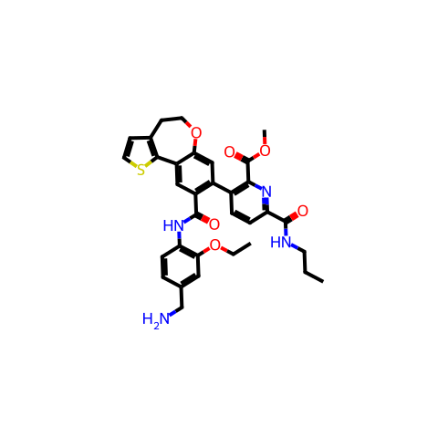 CCCNC(=O)c1ccc(-c2cc3c(cc2C(=O)Nc2ccc(CN)cc2OCC)-c2sccc2CCO3)c(C(=O)OC)n1